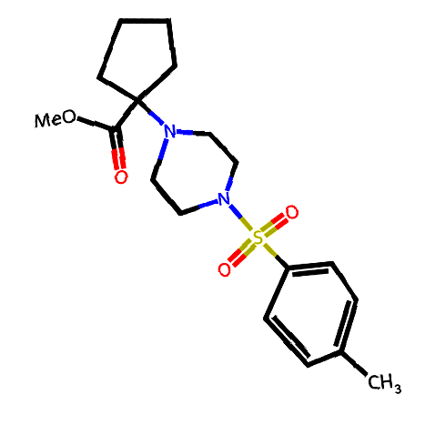 COC(=O)C1(N2CCN(S(=O)(=O)c3ccc(C)cc3)CC2)CCCC1